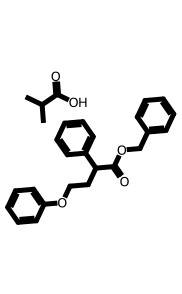 CC(C)C(=O)O.O=C(OCc1ccccc1)C(CCOc1ccccc1)c1ccccc1